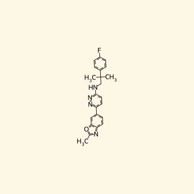 Cc1nc2ccc(-c3ccc(NCC(C)(C)c4ccc(F)cc4)nn3)cc2o1